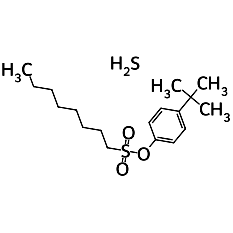 CCCCCCCCS(=O)(=O)Oc1ccc(C(C)(C)C)cc1.S